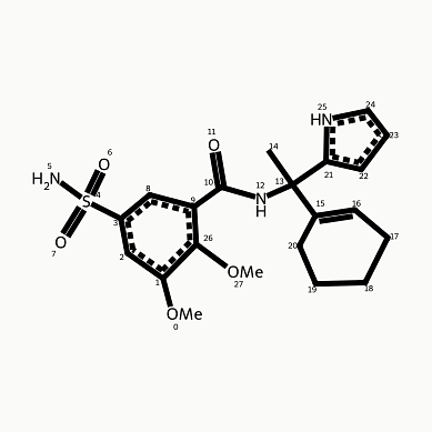 COc1cc(S(N)(=O)=O)cc(C(=O)NC(C)(C2=CCCCC2)c2ccc[nH]2)c1OC